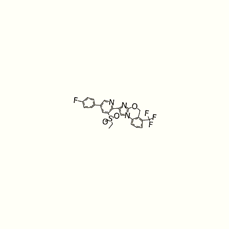 CCS(=O)(=O)c1cc(-c2ccc(F)cc2)cnc1-c1cn2c(n1)OCc1c-2cccc1C(F)(F)F